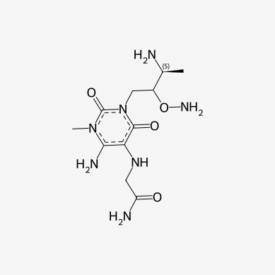 C[C@H](N)C(Cn1c(=O)c(NCC(N)=O)c(N)n(C)c1=O)ON